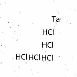 Cl.Cl.Cl.Cl.Cl.[Ta]